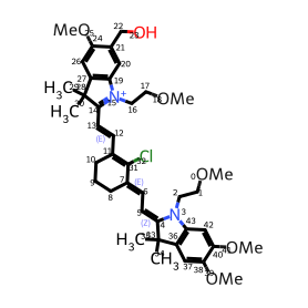 COCCN1/C(=C\C=C2/CCCC(/C=C/C3=[N+](CCOC)c4cc(CO)c(OC)cc4C3(C)C)=C2Cl)C(C)(C)c2cc(OC)c(OC)cc21